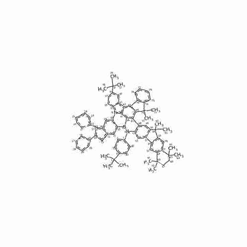 CC(C)(C)c1ccc(N2B3c4cc5cc(-c6ccccc6)n(-c6ccccc6)c5cc4-n4c5ccc(C(C)(C)C)cc5c5c6c(c(c3c54)-c3cc4c(cc32)-c2cc3c(cc2C4(C)C)C(C)(C)CCC3(C)C)C(C)(C)c2ccccc2-6)cc1